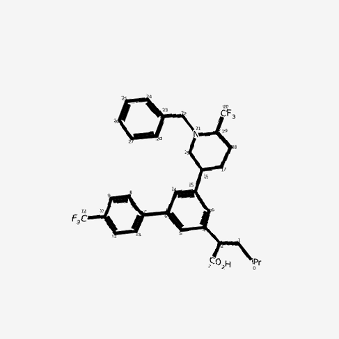 CC(C)CC(C(=O)O)c1cc(-c2ccc(C(F)(F)F)cc2)cc(C2CCC(C(F)(F)F)N(Cc3ccccc3)C2)c1